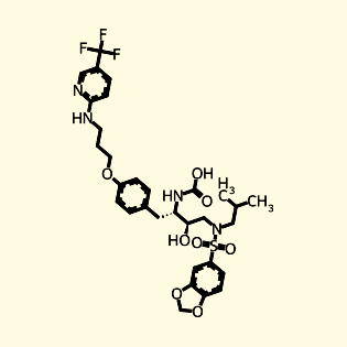 CC(C)CN(C[C@@H](O)[C@H](Cc1ccc(OCCCNc2ccc(C(F)(F)F)cn2)cc1)NC(=O)O)S(=O)(=O)c1ccc2c(c1)OCO2